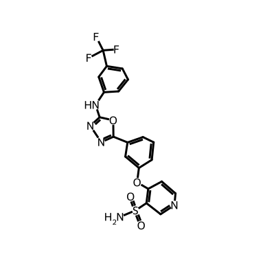 NS(=O)(=O)c1cnccc1Oc1cccc(-c2nnc(Nc3cccc(C(F)(F)F)c3)o2)c1